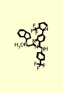 CN(Cc1nc(Nc2ccc(C(F)(F)F)cc2)c2ccc(-c3ncccc3C(F)(F)F)cc2n1)C1CCC2C=CC=CC21